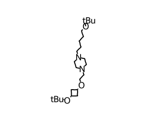 CC(C)(C)OCCCCCN1CCN(CCO[C@H]2C[C@H](OC(C)(C)C)C2)CC1